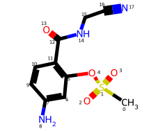 CS(=O)(=O)Oc1cc(N)ccc1C(=O)NCC#N